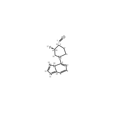 O=C[C@@H]1CCN(c2nccc3ncnn23)C[C@H]1F